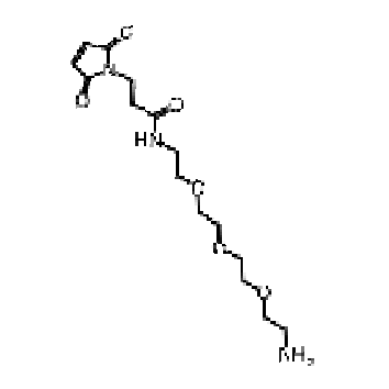 NCCOCCOCCOCCNC(=O)CCN1C(=O)C=CC1=O